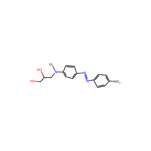 CCN(CC(O)CO)c1ccc(/N=N/c2ccc([N+](=O)[O-])cc2)cc1